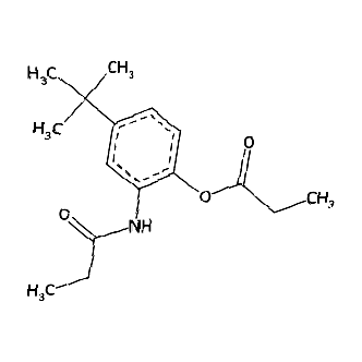 CCC(=O)Nc1cc(C(C)(C)C)ccc1OC(=O)CC